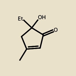 CCC1(O)CC(C)=CC1=O